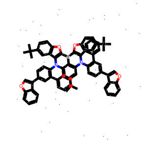 CC(C)c1cc2c3c(c1)N(c1ccc(-c4coc5ccccc45)cc1-c1ccccc1)c1c(oc4ccc(C(C)(C)C)cc14)B3c1oc3ccc(C(C)(C)C)cc3c1N2c1ccc(-c2coc3ccccc23)cc1-c1ccccc1